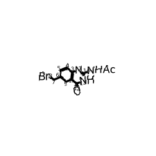 CC(=O)Nc1nc2ccc(CBr)cc2c(=O)[nH]1